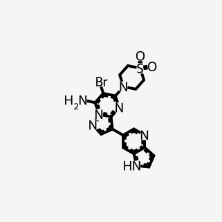 Nc1c(Br)c(N2CCS(=O)(=O)CC2)nc2c(-c3cnc4cc[nH]c4c3)cnn12